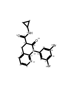 O=C(NC1CC1)C1Cc2cccnc2N(c2cc(Br)cc(Br)c2)C1=O